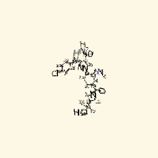 C/N=C\[C@H]1C[C@@H](C(=O)N2CC(C(C)(C)O)C2)CC[C@@H]1n1cc(C(N)=O)c(Nc2ccc(Cl)cc2)n1